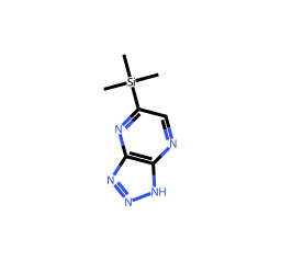 C[Si](C)(C)c1cnc2[nH]nnc2n1